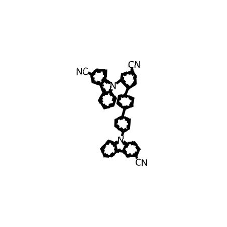 N#Cc1ccc(-c2ccc(-c3ccc(-n4c5ccccc5c5cc(C#N)ccc54)cc3)cc2)c(-n2c3ccccc3c3cc(C#N)ccc32)c1